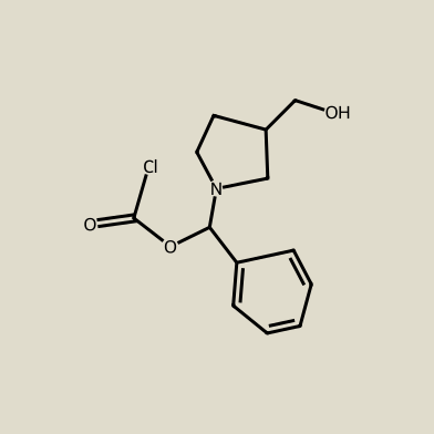 O=C(Cl)OC(c1ccccc1)N1CCC(CO)C1